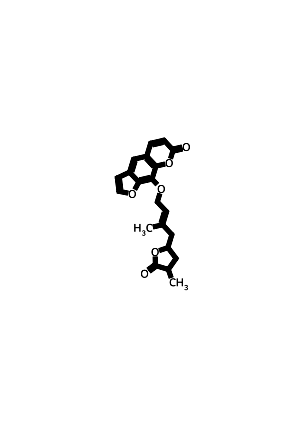 C/C(=C\COc1c2occc2cc2ccc(=O)oc12)CC1CC(C)C(=O)O1